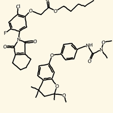 CCCCCOC(=O)COc1cc(N2C(=O)C3=C(CCCC3)C2=O)c(F)cc1Cl.CON(C)C(=O)Nc1ccc(Oc2ccc3c(c2)OC(C)(OC)CC3(C)C)cc1